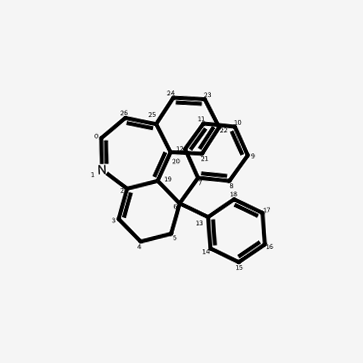 C1=NC2=CCCC(c3ccccc3)(c3ccccc3)C2=c2ccccc2=C1